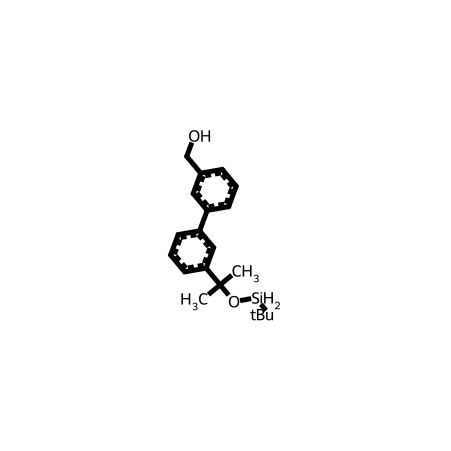 CC(C)(C)[SiH2]OC(C)(C)c1cccc(-c2cccc(CO)c2)c1